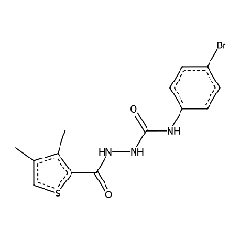 Cc1csc(C(=O)NNC(=O)Nc2ccc(Br)cc2)c1C